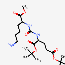 COC(=O)C(CCCCN)NC(=O)NC(CCC(=O)OC(C)(C)C)C(=O)OC(C)(C)C